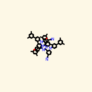 Cc1cc(C)cc(-c2ccc3c(c2)c2cc(-c4cc(C)cc(C)c4)ccc2n3-c2ccc(C#N)cc2-c2nc(-c3ccccc3)nc(-c3cc(C#N)ccc3-n3c4ccc(-c5cc(C)cc(C)c5)cc4c4cc(-c5cc(C)cc(C)c5)ccc43)n2)c1